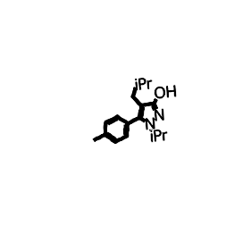 Cc1ccc(-c2c(CC(C)C)c(O)nn2C(C)C)cc1